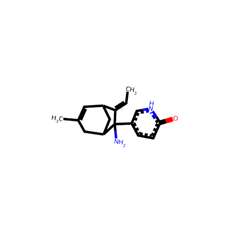 C/C=C1\C2C=C(C)CC(C2)C1(N)c1ccc(=O)[nH]c1